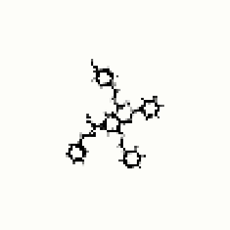 O=C(NCc1cccnc1)c1cc(OCc2ccccc2)c(OCc2ccccc2)c(C(=O)NCc2ccc(F)cc2)n1